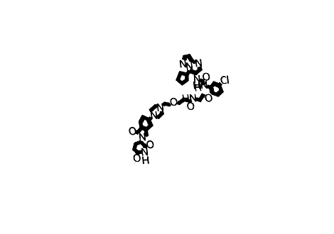 O=C(CCOCCN1CCN(c2ccc3c(c2)CN(C2CCC(=O)NC2=O)C3=O)CC1)NCCOc1ccc(Cl)cc1NC(=O)Nc1cnc2ccnn2c1C1CCCC1